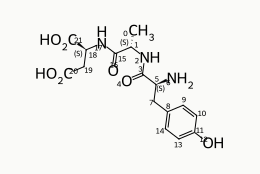 C[C@H](NC(=O)[C@@H](N)Cc1ccc(O)cc1)C(=O)N[C@@H](CC(=O)O)C(=O)O